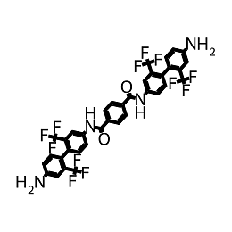 Nc1ccc(-c2ccc(NC(=O)c3ccc(C(=O)Nc4ccc(-c5ccc(N)cc5C(F)(F)F)c(C(F)(F)F)c4)cc3)cc2C(F)(F)F)c(C(F)(F)F)c1